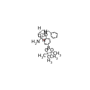 CC1(C)OB(c2ccc(O[C@H]3[C@@H]4CC[C@H]3CN(Cc3ccccc3)C4)c(C(N)=O)c2)OC1(C)C